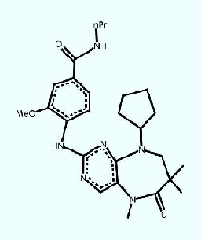 CCCNC(=O)c1ccc(Nc2ncc3c(n2)N(C2CCCC2)CC(C)(C)C(=O)N3C)c(OC)c1